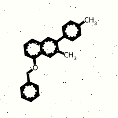 Cc1ccc(-c2cc3cccc(OCc4ccccc4)c3cc2C)cc1